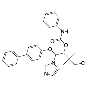 CC(C)(CCl)C(OC(=O)Nc1ccccc1)C(Oc1ccc(-c2ccccc2)cc1)n1ccnc1